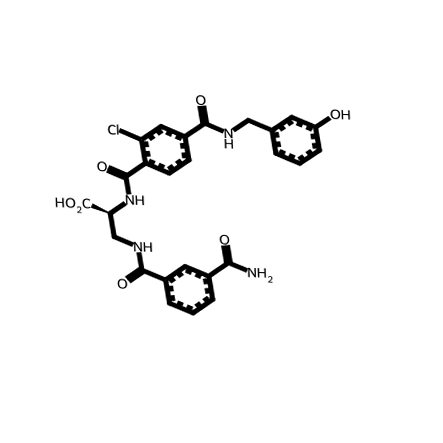 NC(=O)c1cccc(C(=O)NC[C@H](NC(=O)c2ccc(C(=O)NCc3cccc(O)c3)cc2Cl)C(=O)O)c1